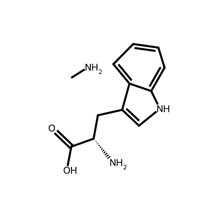 CN.N[C@@H](Cc1c[nH]c2ccccc12)C(=O)O